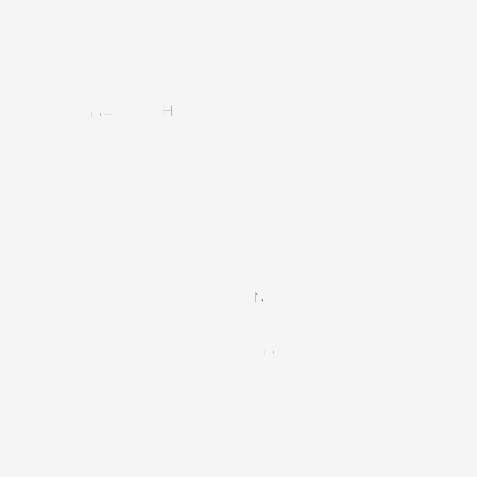 Cc1oc(-c2ccccc2)nc1CCCCCC(CO)CO